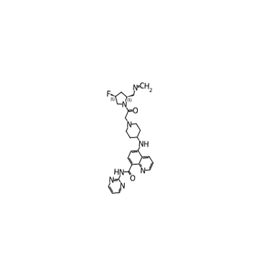 C=NC[C@@H]1C[C@H](F)CN1C(=O)CN1CCC(Nc2ccc(C(=O)Nc3ncccn3)c3ncccc23)CC1